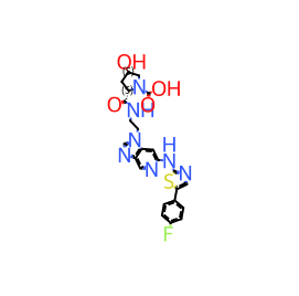 O=C(NCCn1cnc2cnc(Nc3ncc(-c4ccc(F)cc4)s3)cc21)[C@@H]1C[C@H](O)CN1C(=O)O